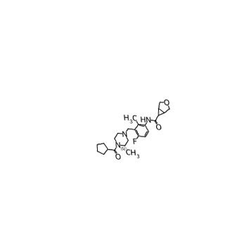 Cc1c(NC(=O)C2C3COCC32)ccc(F)c1CN1CCN(C(=O)C2CCCC2)[C@@H](C)C1